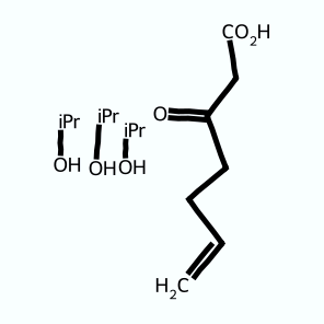 C=CCCC(=O)CC(=O)O.CC(C)O.CC(C)O.CC(C)O